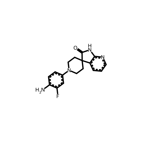 Nc1ccc(N2CCC3(CC2)C(=O)Nc2ncccc23)cc1F